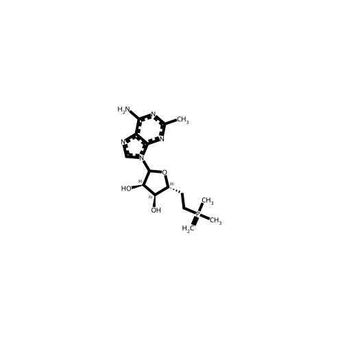 C=P(C)(C)CC[C@H]1OC(n2cnc3c(N)nc(C)nc32)[C@H](O)[C@@H]1O